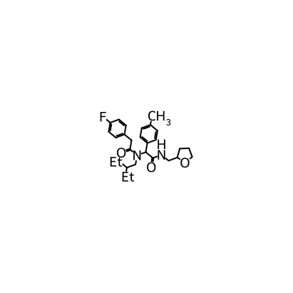 CCC(CC)CN(C(=O)Cc1ccc(F)cc1)C(C(=O)NCC1CCCO1)c1ccc(C)cc1